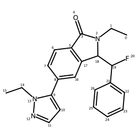 CCN1C(=O)c2ccc(-c3ccnn3CC)cc2C1C(F)c1ccccc1